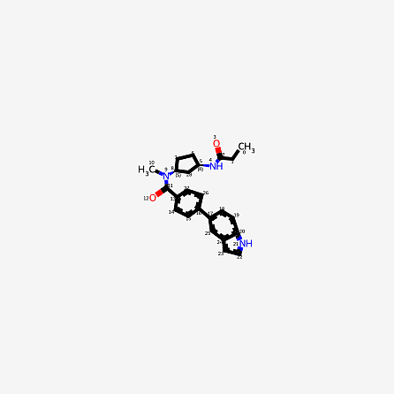 CCC(=O)N[C@@H]1CC[C@H](N(C)C(=O)c2ccc(-c3ccc4[nH]ccc4c3)cc2)C1